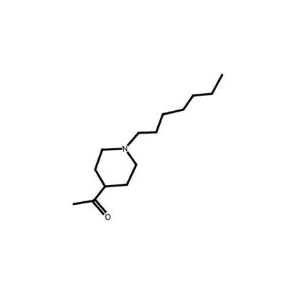 CCCCCCCN1CCC(C(C)=O)CC1